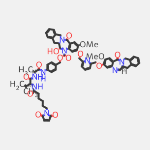 C=C(C)[C@H](NC(=O)CCCCCN1C(=O)C=CC1=O)C(=O)N[C@@H](C)C(=O)Nc1ccc(COC(=O)N2c3cc(OCc4cccc(COc5cc6c(cc5OC)C(=O)N5Cc7ccccc7C[C@H]5C=N6)n4)c(OC)cc3C(=O)N3Cc4ccccc4CC3C2O)cc1